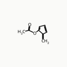 C=C1C=CC=C1OC(C)=O